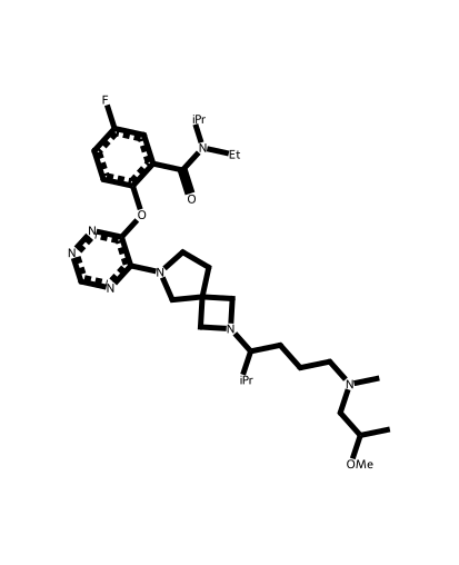 CCN(C(=O)c1cc(F)ccc1Oc1nncnc1N1CCC2(C1)CN(C(CCCN(C)CC(C)OC)C(C)C)C2)C(C)C